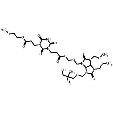 COCCOC(=O)CCn1c(=O)[nH]c(=O)n(CCC(=O)OCOCN2C(=O)N(COC)C3C2N(COCC(C)(C)CO)C(=O)N3COC)c1=O